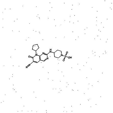 N#Cc1cc2cnc(NC3CCN(S(=O)(=O)O)CC3)nc2n(C2CCCC2)c1=O